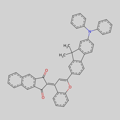 CC1(C)c2cc(C3=CC(=C4C(=O)c5cc6ccccc6cc5C4=O)c4ccccc4O3)ccc2-c2ccc(N(c3ccccc3)c3ccccc3)cc21